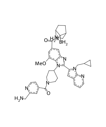 BC1(N)C2CCC1N(C(=O)c1cc(OC)c3c(c1)nc(-c1cc4cccnc4n1CC1CC1)n3C1CCN(C(=O)c3ccnc(CN)c3)CC1)C2